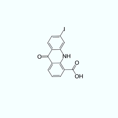 O=C(O)c1cccc2c(=O)c3ccc(I)cc3[nH]c12